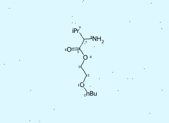 CCCCOCCOC(=O)C(N)C(C)C